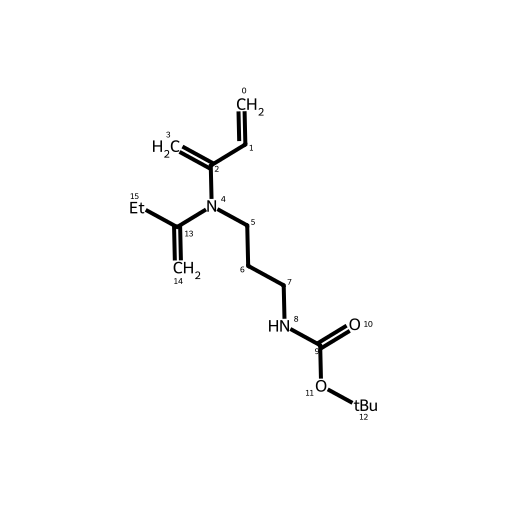 C=CC(=C)N(CCCNC(=O)OC(C)(C)C)C(=C)CC